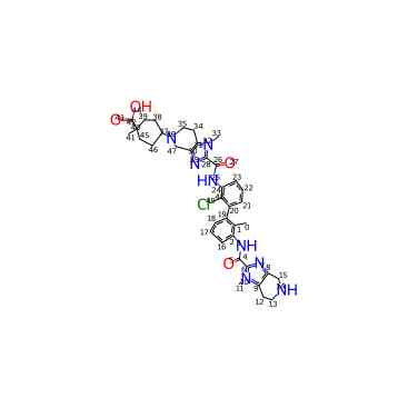 Cc1c(NC(=O)c2nc3c(n2C)CCNC3)cccc1-c1cccc(NC(=O)c2nc3c(n2C)CCN(C2CCC(C)(C(=O)O)CC2)C3)c1Cl